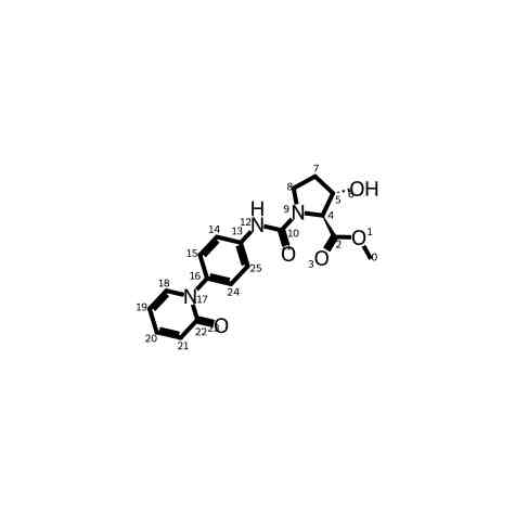 COC(=O)[C@@H]1[C@@H](O)CCN1C(=O)Nc1ccc(-n2ccccc2=O)cc1